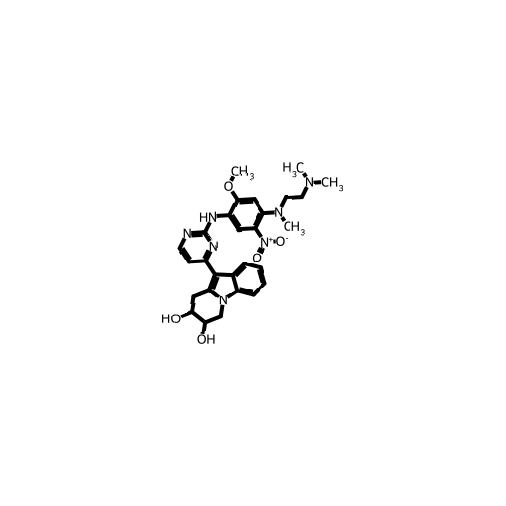 COc1cc(N(C)CCN(C)C)c([N+](=O)[O-])cc1Nc1nccc(-c2c3n(c4ccccc24)CC(O)C(O)C3)n1